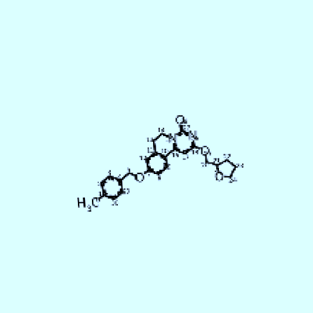 Cc1ccc(COc2ccc3c(c2)CCn2c-3cc(OCC3CCCO3)nc2=O)cc1